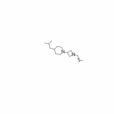 CSCN1CC(N2CCC(CC(C)C)CC2)C1